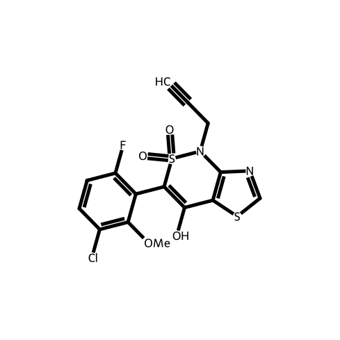 C#CCN1c2ncsc2C(O)=C(c2c(F)ccc(Cl)c2OC)S1(=O)=O